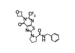 O=C(NCc1ccccc1)C1CCCN1c1nc2c(=O)n(C3COC3)c(C(F)(F)F)nc2s1